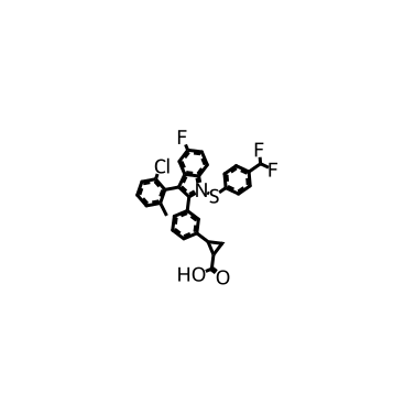 Cc1cccc(Cl)c1-c1c(-c2cccc(C3CC3C(=O)O)c2)n(Sc2ccc(C(F)F)cc2)c2ccc(F)cc12